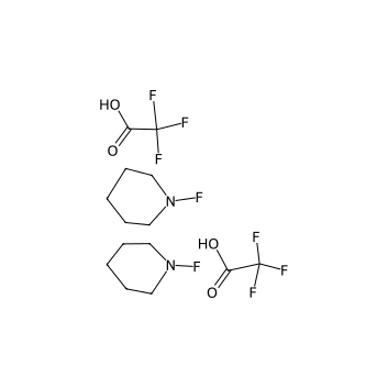 FN1CCCCC1.FN1CCCCC1.O=C(O)C(F)(F)F.O=C(O)C(F)(F)F